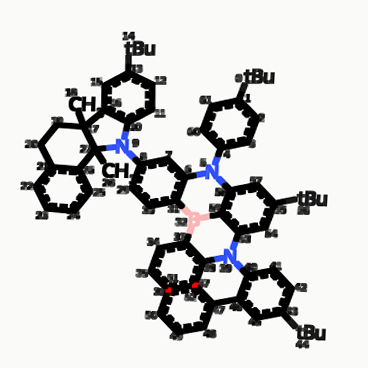 CC(C)(C)c1ccc(N2c3cc(N4c5ccc(C(C)(C)C)cc5C5(C)CCc6ccccc6C45C)ccc3B3c4ccccc4N(c4ccc(C(C)(C)C)cc4-c4ccccc4)c4cc(C(C)(C)C)cc2c43)cc1